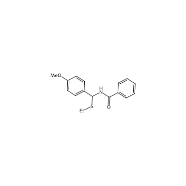 CCSC(NC(=O)c1ccccc1)c1ccc(OC)cc1